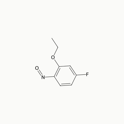 CCOc1cc(F)ccc1N=O